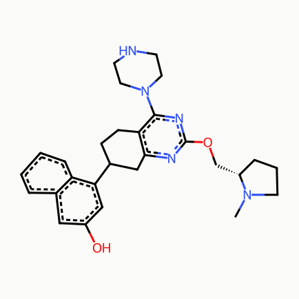 CN1CCC[C@H]1COc1nc2c(c(N3CCNCC3)n1)CCC(c1cc(O)cc3ccccc13)C2